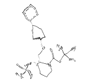 BC(B)(B)OC(=O)N1CCC[C@H](NS(C)(=O)=O)[C@@H]1CO[C@H]1CC[C@@H](c2ccccc2)CC1